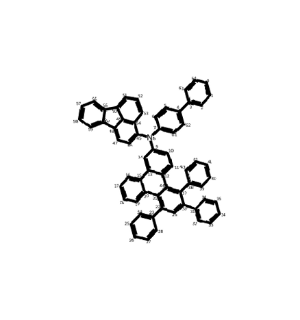 c1ccc(-c2ccc(N(c3ccc4c(c3)c3ccccc3c3c(-c5ccccc5)cc(-c5ccccc5)c(-c5ccccc5)c43)c3ccc4c5c(cccc35)-c3ccccc3-4)cc2)cc1